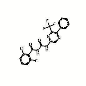 O=C(NC(=O)c1c(Cl)cccc1Cl)Nc1cnc(-c2ccccc2)c(C(F)(F)F)n1